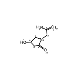 C=C(N)CN1CC(O)CC1=O